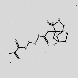 C=C(C)C(=O)OCCOC(=O)CC12C[C@@H]3CC[C@@]1(COC2=O)O3